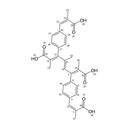 CC(=Cc1ccc(C(C=C(C)C(=C(C)C(=O)O)c2ccc(C=C(C)C(=O)O)cc2)=C(C)C(=O)O)cc1)C(=O)O